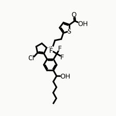 CCCCCC(O)c1ccc(C2=C(Cl)CC[C@@H]2CCCc2ccc(C(=O)O)s2)c(C(F)(F)F)c1